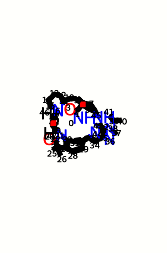 CNC(=O)c1cc2ccc1CC1CCCCN1[C@H]1C[C@H](C1)N1C(=O)C(C)(C)c3ccc(cc31)-c1cc3ncn(C(C)C)c3c(n1)N2